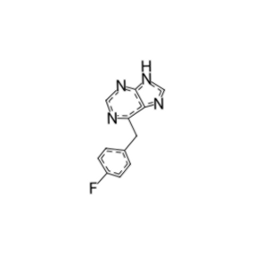 Fc1ccc(Cc2ncnc3[nH]cnc23)cc1